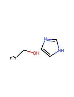 CCCCO.c1c[nH]cn1